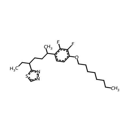 CCCCCCCCOc1ccc(C(C)CCC(CC)c2nncs2)c(F)c1F